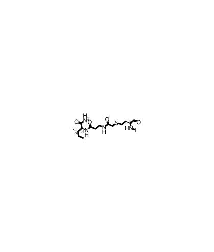 CC[C@H](C)[C@H](NC(=O)CCNC(=O)CSCC[C@@H](C=O)NI)C(N)=O